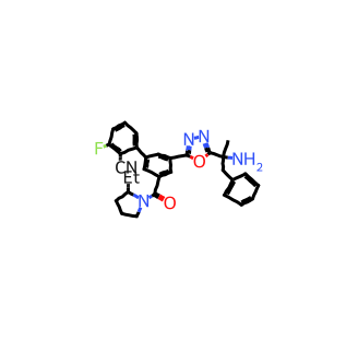 CCC1CCCN1C(=O)c1cc(-c2nnc(C(C)(N)Cc3ccccc3)o2)cc(-c2cccc(F)c2C#N)c1